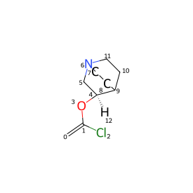 C=C(Cl)O[C@H]1CN2CCC1CC2